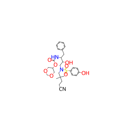 CC(C)(CCC#N)CN(CC(O)C(Cc1ccccc1)NC(=O)OC1COCOC1)S(=O)(=O)c1ccc(O)cc1